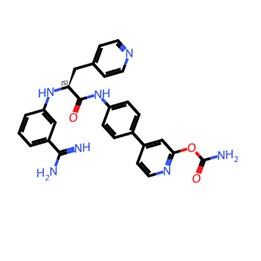 N=C(N)c1cccc(N[C@@H](Cc2ccncc2)C(=O)Nc2ccc(-c3ccnc(OC(N)=O)c3)cc2)c1